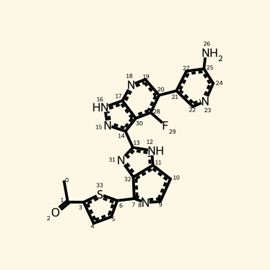 CC(=O)c1ccc(-c2nccc3[nH]c(-c4n[nH]c5ncc(-c6cncc(N)c6)c(F)c45)nc23)s1